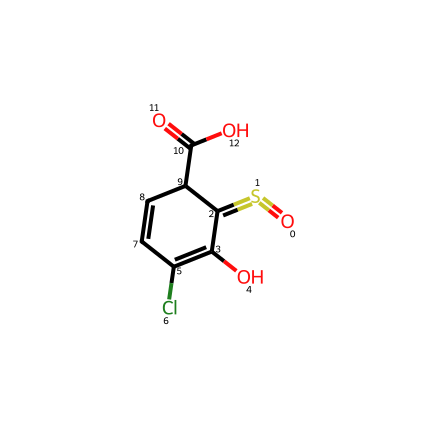 O=S=C1C(O)=C(Cl)C=CC1C(=O)O